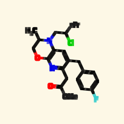 CCCC(Cl)CN1c2cc(Cc3ccc(F)cc3)c(CC(=O)OC)nc2OCC1C